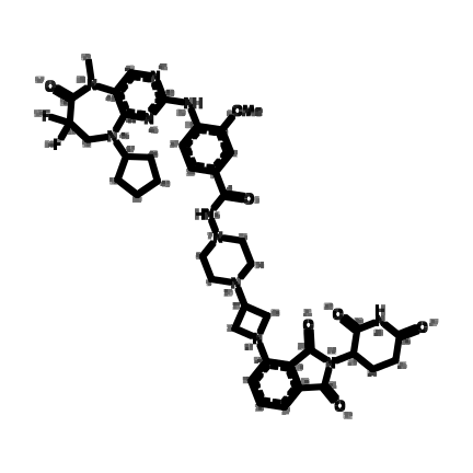 COc1cc(C(=O)NN2CCN(C3CN(c4cccc5c4C(=O)N(C4CCC(=O)NC4=O)C5=O)C3)CC2)ccc1Nc1ncc2c(n1)N(C1CCCC1)CC(F)(F)C(=O)N2C